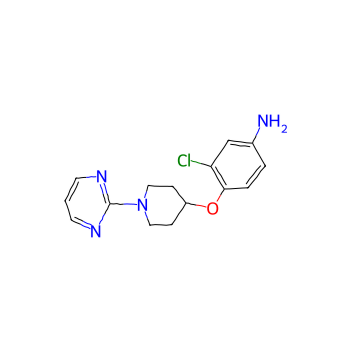 Nc1ccc(OC2CCN(c3ncccn3)CC2)c(Cl)c1